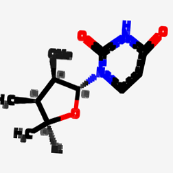 CC[C@@]1(C)O[C@@H](n2ccc(=O)[nH]c2=O)[C@H](OC)[C@@H]1C